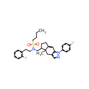 CCCCS(=O)(=O)N(CCc1ccccc1F)CC1CCC2=Cc3c(cnn3-c3ccc(F)cc3)C[C@@]21C